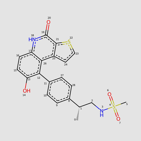 C[C@@H](CNS(C)(=O)=O)c1ccc(-c2c(O)ccc3[nH]c(=O)c4sccc4c23)cc1